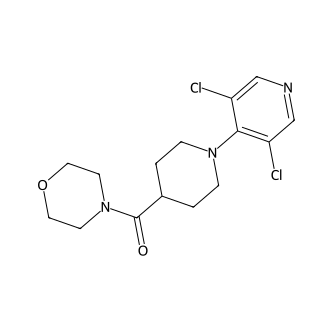 O=C(C1CCN(c2c(Cl)cncc2Cl)CC1)N1CCOCC1